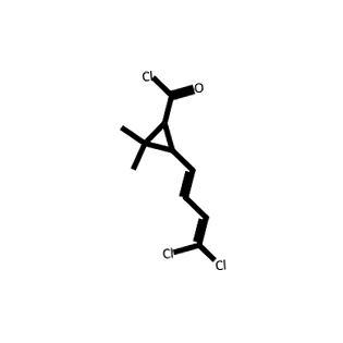 CC1(C)C(C=CC=C(Cl)Cl)C1C(=O)Cl